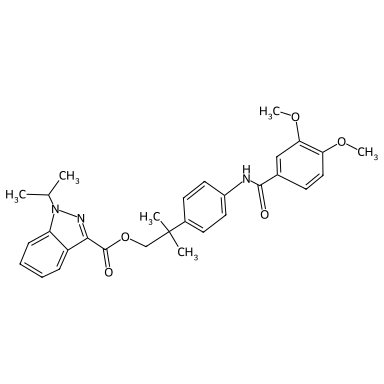 COc1ccc(C(=O)Nc2ccc(C(C)(C)COC(=O)c3nn(C(C)C)c4ccccc34)cc2)cc1OC